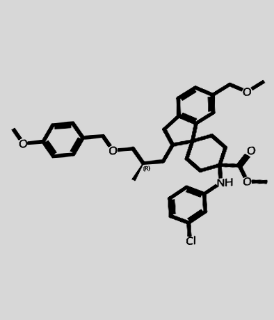 COCc1ccc2c(c1)C1(CCC(Nc3cccc(Cl)c3)(C(=O)OC)CC1)C(C[C@@H](C)COCc1ccc(OC)cc1)C2